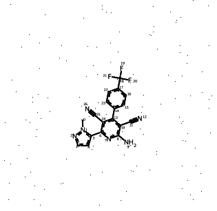 Cn1nccc1-c1nc(N)c(C#N)c(-c2ccc(C(F)(F)F)cc2)c1C#N